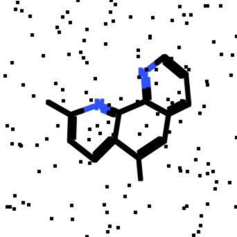 Cc1ccc2c(C)cc3cccnc3c2n1